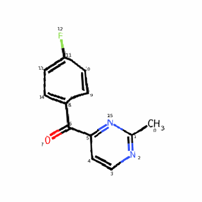 Cc1nccc(C(=O)c2ccc(F)cc2)n1